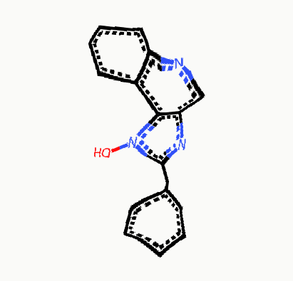 On1c(-c2ccccc2)nc2cnc3ccccc3c21